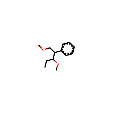 CCC(OC)C(COC)c1ccccc1